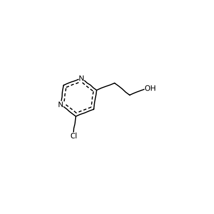 OCCc1cc(Cl)ncn1